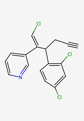 C#CCC(C(=CCl)c1cccnc1)c1ccc(Cl)cc1Cl